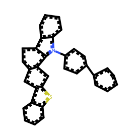 c1ccc(-c2ccc(-n3c4ccccc4c4ccc5cc6c(cc5c43)sc3ccccc36)cc2)cc1